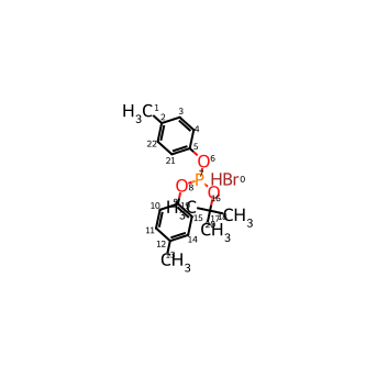 Br.Cc1ccc(OP(Oc2ccc(C)cc2)OC(C)(C)C)cc1